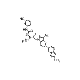 CC(=O)c1nn(CC(=O)N2C[C@H](F)C[C@H]2C(=O)Nc2cccc(C#N)n2)c2ccc(-c3cnc4cc(C)nn4c3)cc12